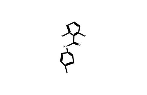 Cc1ccc(NC(=O)c2c(Cl)cccc2Cl)cc1